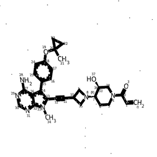 C=CC(=O)N1CC[C@@H](N2CC(C#Cc3c(-c4ccc(OC5(C)CC5)cc4)c4c(N)ncnc4n3C)C2)[C@@H](O)C1